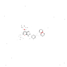 COc1ccc(CN(Cc2ccc(OC)cc2)c2cc(-c3nc4c5c(nc(N6CCC6(CO)C(=O)O)nc5c3F)N3C[C@H]5CC[C@@H]([C@H]3[C@H](C)O4)N5C(=O)OC(C)(C)C)c(C(F)(F)F)c(C)c2F)cc1